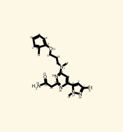 CCc1cc(-c2cc(N(C)CCCOc3ccccc3C)nc(CC(N)=O)n2)n(C)n1